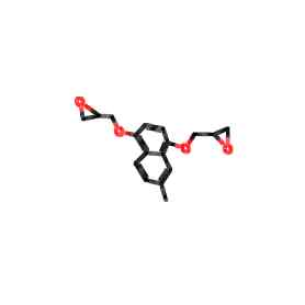 Cc1ccc2c(OCC3CO3)ccc(OCC3CO3)c2c1